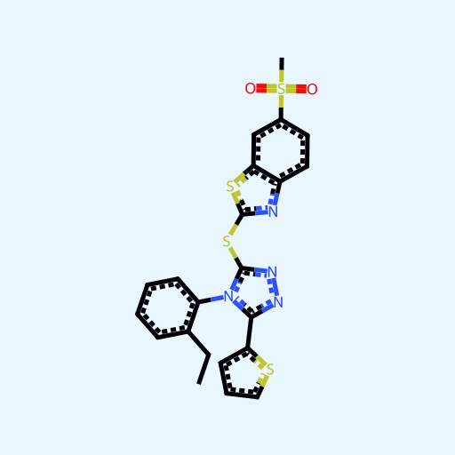 CCc1ccccc1-n1c(Sc2nc3ccc(S(C)(=O)=O)cc3s2)nnc1-c1cccs1